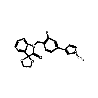 Cn1cc(-c2ccc(CN3C(=O)C4(OCCO4)c4ccccc43)c(F)c2)cn1